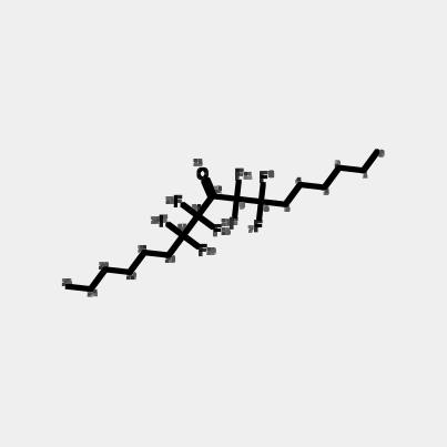 CCCCCCC(F)(F)C(F)(F)C(=O)C(F)(F)C(F)(F)CCCCCC